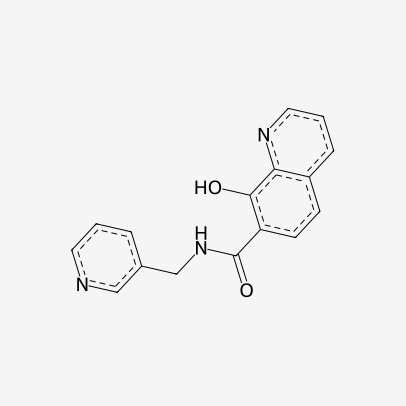 O=C(NCc1cccnc1)c1ccc2cccnc2c1O